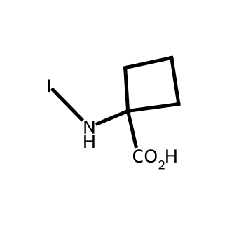 O=C(O)C1(NI)CCC1